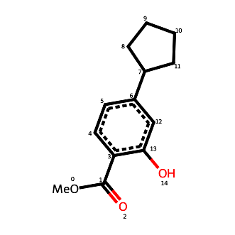 COC(=O)c1ccc(C2CCCC2)cc1O